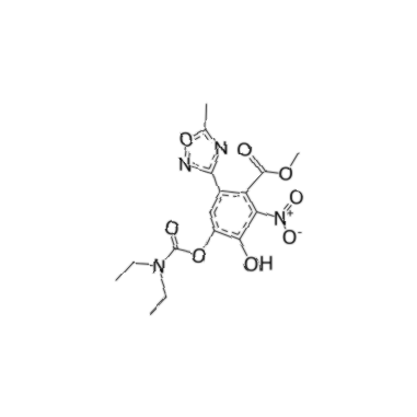 CCN(CC)C(=O)Oc1cc(-c2noc(C)n2)c(C(=O)OC)c([N+](=O)[O-])c1O